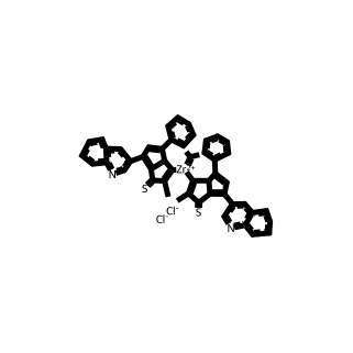 CC1=[C]([Zr+2]([C]2=C(C)C(=S)C3=C(c4cnc5ccccc5c4)C=C(c4ccccc4)C32)=[C](C)C)C2C(c3ccccc3)=CC(c3cnc4ccccc4c3)=C2C1=S.[Cl-].[Cl-]